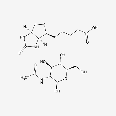 CC(=O)N[C@@H]1[C@@H](O)[C@H](O)[C@@H](CO)O[C@H]1O.O=C(O)CCCC[C@@H]1SC[C@@H]2NC(=O)N[C@@H]21